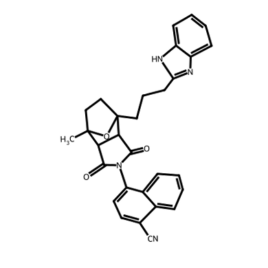 CC12CCC(CCCc3nc4ccccc4[nH]3)(O1)C1C(=O)N(c3ccc(C#N)c4ccccc34)C(=O)C12